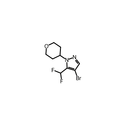 FC(F)c1c(Br)cnn1C1CCOCC1